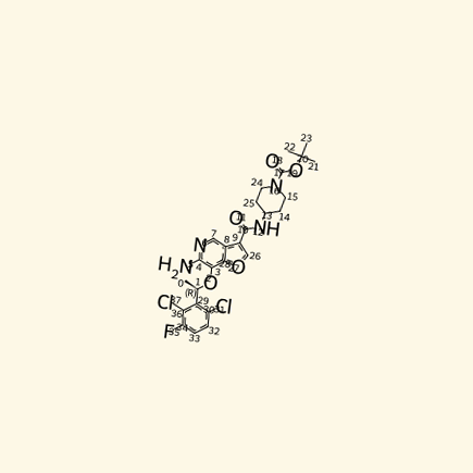 C[C@@H](Oc1c(N)ncc2c(C(=O)NC3CCN(C(=O)OC(C)(C)C)CC3)coc12)c1c(Cl)ccc(F)c1Cl